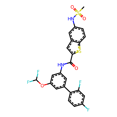 CS(=O)(=O)Nc1ccc2sc(C(=O)Nc3cc(OC(F)F)cc(-c4ccc(F)cc4F)c3)cc2c1